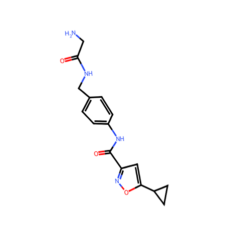 NCC(=O)NCc1ccc(NC(=O)c2cc(C3CC3)on2)cc1